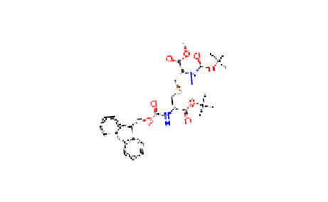 COC(=O)[C@@H](CSC[C@H](NC(=O)OCC1c2ccccc2-c2ccccc21)C(=O)OC(C)(C)C)NC(=O)OC(C)(C)C